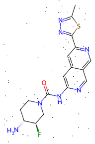 Cc1nnc(-c2cc3cc(NC(=O)N4CC[C@@H](N)[C@H](F)C4)ncc3cn2)s1